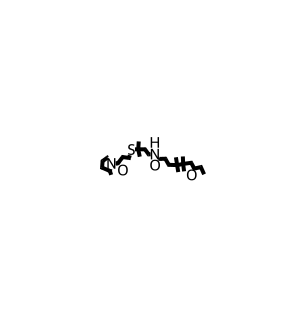 CCC(=O)CC(C)(C)C(C)(C)CCC(=O)NCCC(C)(C)SCCC(=O)N1CCCC1C